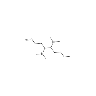 C=CCCC(C(CCCC)N(C)C)N(C)C